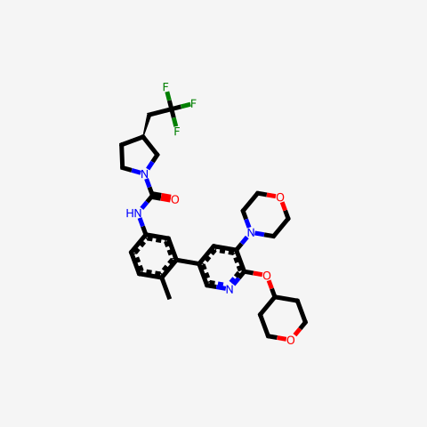 Cc1ccc(NC(=O)N2CC[C@@H](CC(F)(F)F)C2)cc1-c1cnc(OC2CCOCC2)c(N2CCOCC2)c1